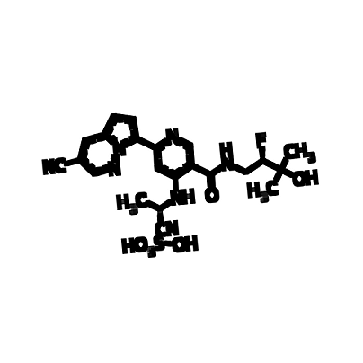 C[C@H](C#N)Nc1cc(-c2ccc3cc(C#N)cnn23)ncc1C(=O)NC[C@@H](F)C(C)(C)O.O=S(=O)(O)O